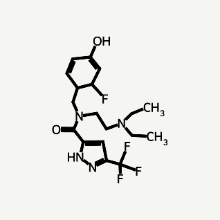 CCN(CC)CCN(CC1C=CC(O)=CC1F)C(=O)c1cc(C(F)(F)F)n[nH]1